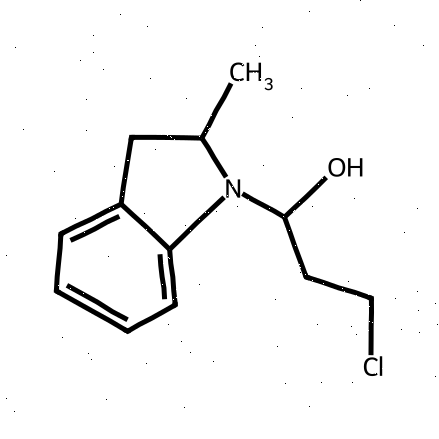 CC1Cc2ccccc2N1C(O)CCCl